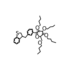 CCCCOCC1O[C@@H](c2cccc(CC3CSc4ccccc43)c2)[C@H](OCCCC)C(OCCCC)[C@@H]1OCCCC